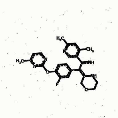 Cc1cc(C)c(C(=N)/C(=C2/COCCN2)c2ccc(Oc3nccc(C)n3)c(F)c2)cn1